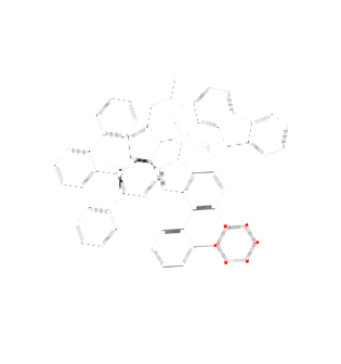 CC(C)CC1=Cc2c(ccc(-c3ccccc3)c2-c2ccccc2-c2ccccc2)[CH]1[Zr]([Cl])([Cl])([c]1cccc2c1[SiH2]c1ccccc1-2)[CH]1C(CC(C)C)=Cc2c1ccc(-c1ccccc1)c2-c1ccccc1-c1ccccc1